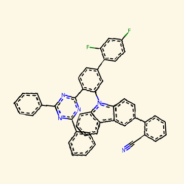 N#Cc1ccccc1-c1ccc2c(c1)c1ccccc1n2-c1cc(-c2ccc(F)cc2F)ccc1-c1nc(-c2ccccc2)nc(-c2ccccc2)n1